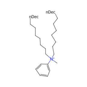 CCCCCCCCCCCCCCCCC[N+](C)(CCCCCCCCCCCCCCCCC)c1ccccc1